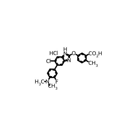 Cc1ccc(Oc2nc3cc(-c4ccc(N(C)C)c(F)c4)c(Cl)cc3[nH]2)cc1C(=O)O.Cl